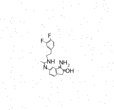 CC(=Nc1ccc2c(c1)[C@@H](N)[C@H](O)C2)NCCc1ccc(F)c(F)c1